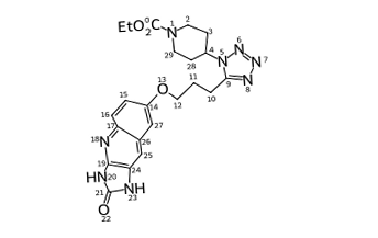 CCOC(=O)N1CCC(n2nnnc2CCCOc2ccc3nc4[nH]c(=O)[nH]c4cc3c2)CC1